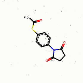 CC(=O)Sc1ccc(N2C(=O)CCC2=O)cc1